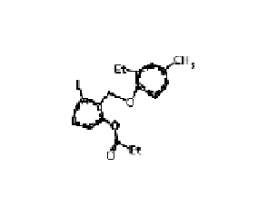 CCC(=O)Oc1cccc(I)c1COc1ccc(C)cc1CC